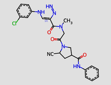 CN(CC(=O)N1CC(C(=O)Nc2ccccc2)CC1C#N)C(=O)/C(=C/Nc1cccc(Cl)c1)N=N